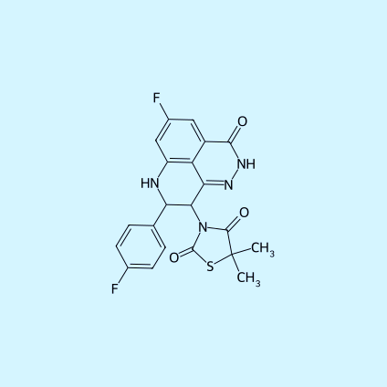 CC1(C)SC(=O)N(C2c3n[nH]c(=O)c4cc(F)cc(c34)NC2c2ccc(F)cc2)C1=O